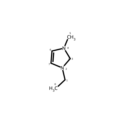 CCN1[C]N(C)C=C1